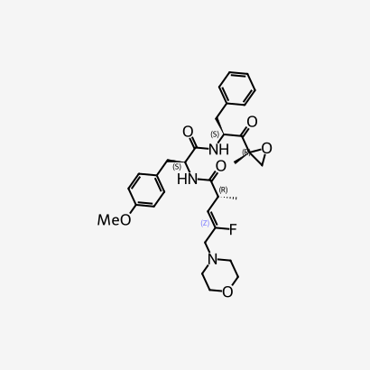 COc1ccc(C[C@H](NC(=O)[C@H](C)/C=C(\F)CN2CCOCC2)C(=O)N[C@@H](Cc2ccccc2)C(=O)[C@@]2(C)CO2)cc1